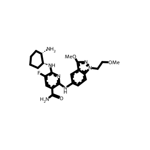 COCCn1nc(OC)c2cc(Nc3nc(N[C@@H]4CCCC[C@@H]4N)c(F)cc3C(N)=O)ccc21